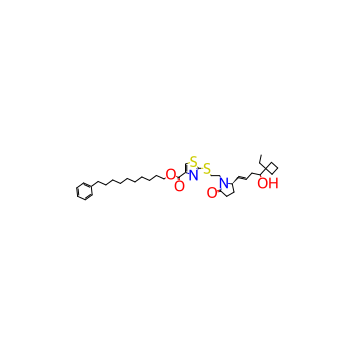 CCC1([C@@H](O)CC=C[C@H]2CCC(=O)N2CCSc2nc(C(=O)OCCCCCCCCCCc3ccccc3)cs2)CCC1